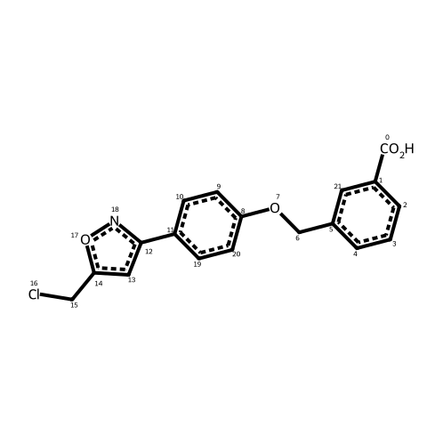 O=C(O)c1cccc(COc2ccc(-c3cc(CCl)on3)cc2)c1